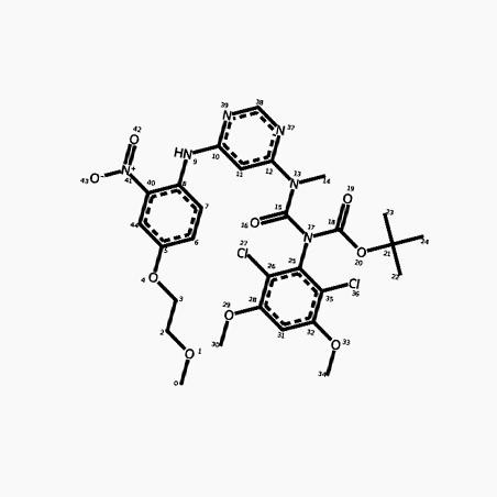 COCCOc1ccc(Nc2cc(N(C)C(=O)N(C(=O)OC(C)(C)C)c3c(Cl)c(OC)cc(OC)c3Cl)ncn2)c([N+](=O)[O-])c1